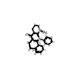 CC(=O)N1CCCc2c1n(-c1ccccc1)c1c(c2=O)CCc2ccccc2-1